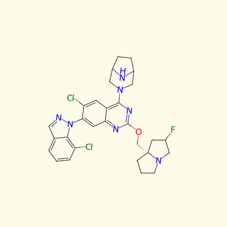 FC1CN2CCC[C@@]2(COc2nc(N3CC4CCC(C3)N4)c3cc(Cl)c(-n4ncc5cccc(Cl)c54)cc3n2)C1